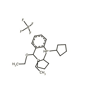 CCOC(OCC)c1ccccc1[PH+](C1CCCC1)C1CCCC1.F[B-](F)(F)F